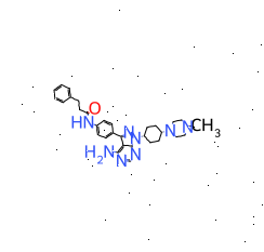 CN1CCN([C@H]2CC[C@@H](n3nc(-c4ccc(NC(=O)CCc5ccccc5)cc4)c4c(N)ncnc43)CC2)CC1